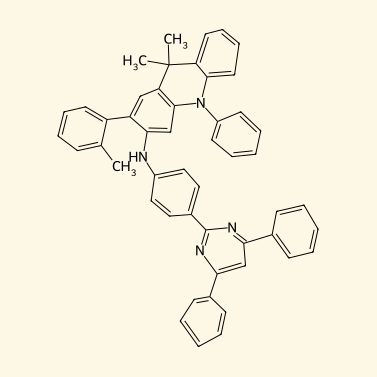 Cc1ccccc1-c1cc2c(cc1Nc1ccc(-c3nc(-c4ccccc4)cc(-c4ccccc4)n3)cc1)N(c1ccccc1)c1ccccc1C2(C)C